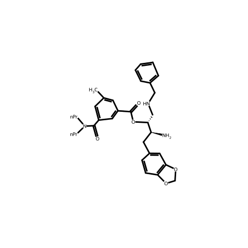 CCCN(CCC)C(=O)c1cc(C)cc(C(=O)O[C@H](CNCc2ccccc2)[C@@H](N)Cc2ccc3c(c2)OCO3)c1